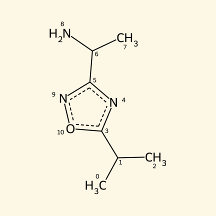 CC(C)c1nc(C(C)N)no1